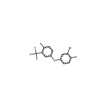 Cc1ccc(Oc2ccc(C)c(C(F)(F)F)c2)cc1Br